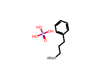 CCCCCCCCCCCCc1ccccc1.O=P(O)(O)O